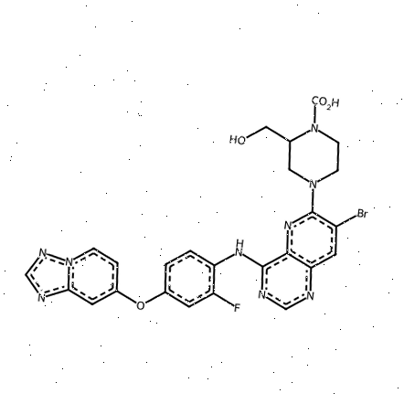 O=C(O)N1CCN(c2nc3c(Nc4ccc(Oc5ccn6ncnc6c5)cc4F)ncnc3cc2Br)CC1CO